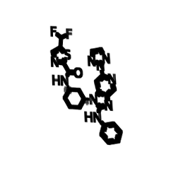 O=C(N[C@H]1CCC[C@@H](n2c(Nc3ccccc3)nc3cnc(-n4nccn4)cc32)C1)c1ncc(C(F)F)s1